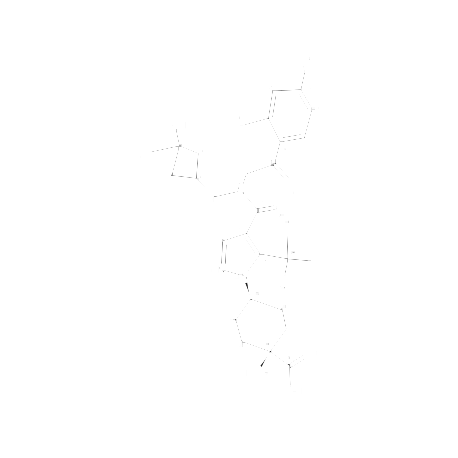 CC1(C)CC(CN(CC(=O)c2c(Cl)cc(Cl)cc2Cl)C(=O)c2cnn([C@H]3CC[C@](C)(C(=O)O)CC3)c2C(F)(F)F)C1